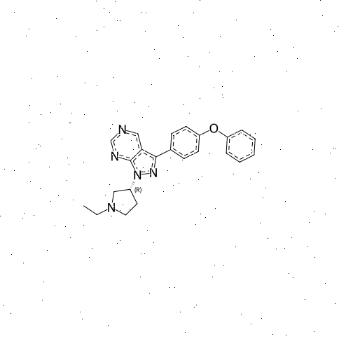 CCN1CC[C@@H](n2nc(-c3ccc(Oc4ccccc4)cc3)c3cncnc32)C1